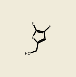 OCc1cc(F)c(F)s1